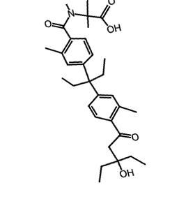 CCC(O)(CC)CC(=O)c1ccc(C(CC)(CC)c2ccc(C(=O)N(C)C(C)(C)C(=O)O)c(C)c2)cc1C